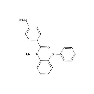 CC(=O)Nc1ccc(C(=O)N(N)c2ccccc2Oc2ccccc2)cc1